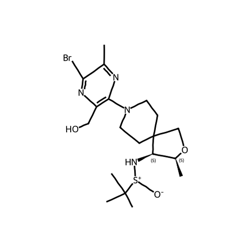 Cc1nc(N2CCC3(CC2)CO[C@@H](C)[C@H]3N[S+]([O-])C(C)(C)C)c(CO)nc1Br